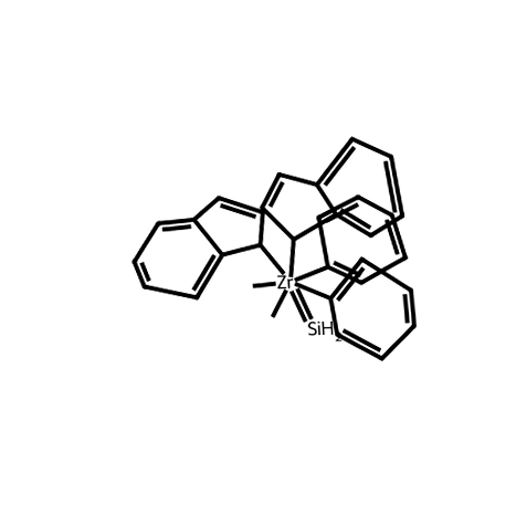 [CH3][Zr]([CH3])(=[SiH2])([c]1ccccc1)([c]1ccccc1)([CH]1C=Cc2ccccc21)[CH]1C=Cc2ccccc21